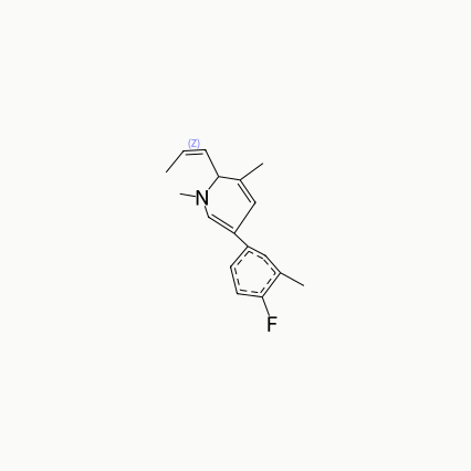 C/C=C\C1C(C)=CC(c2ccc(F)c(C)c2)=CN1C